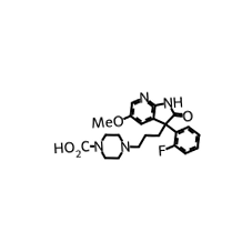 COc1cnc2c(c1)C(CCCN1CCN(C(=O)O)CC1)(c1ccccc1F)C(=O)N2